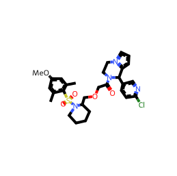 COc1cc(C)c(S(=O)(=O)N2CCCCC2COCC(=O)N2CCn3cccc3C2c2ccc(Cl)nc2)c(C)c1